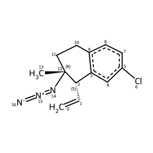 C=C[C@H]1c2cc(Cl)ccc2CC[C@@]1(C)N=[N+]=[N-]